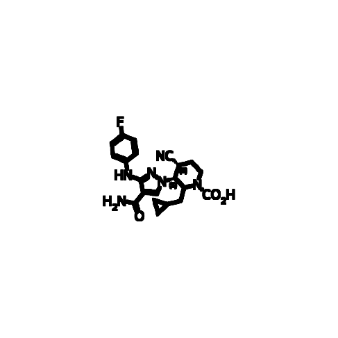 N#C[C@@H]1CCN(C(=O)O)C(CC2CC2)[C@H]1n1cc(C(N)=O)c(Nc2ccc(F)cc2)n1